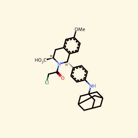 COc1ccc2c(c1)C[C@H](C(=O)O)N(C(=O)CCl)[C@H]2c1ccc(NC23CC4CC(CC(C4)C2)C3)cc1